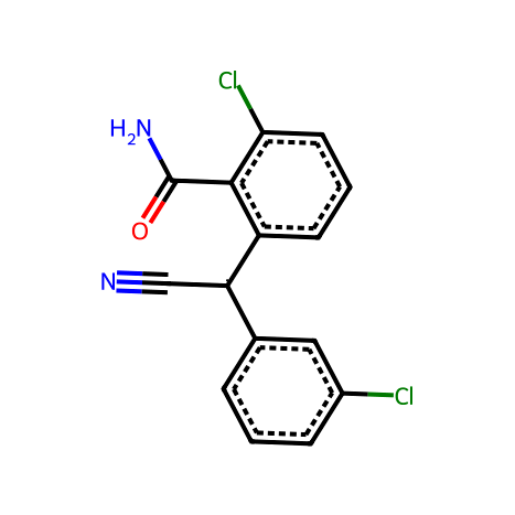 N#C[C](c1cccc(Cl)c1)c1cccc(Cl)c1C(N)=O